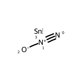 N#[N+][O-].[Sn]